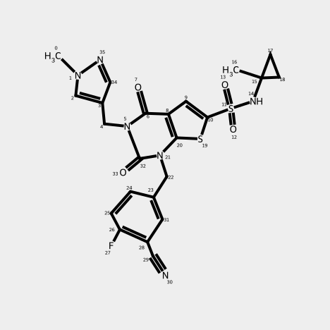 Cn1cc(Cn2c(=O)c3cc(S(=O)(=O)NC4(C)CC4)sc3n(Cc3ccc(F)c(C#N)c3)c2=O)cn1